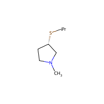 CC(C)S[C@H]1CCN(C)C1